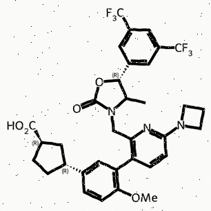 COc1ccc([C@@H]2CC[C@@H](C(=O)O)C2)cc1-c1ccc(N2CCC2)nc1CN1C(=O)O[C@H](c2cc(C(F)(F)F)cc(C(F)(F)F)c2)C1C